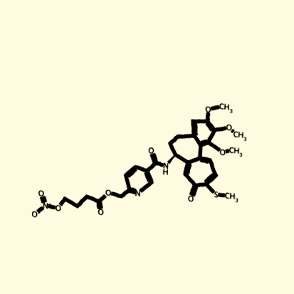 COc1cc2c(c(OC)c1OC)-c1ccc(SC)c(=O)cc1[C@@H](NC(=O)c1ccc(COC(=O)CCCO[N+](=O)[O-])nc1)CC2